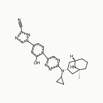 C[C@]12CCC[C@@H](C[C@@H](N(c3ncc(-c4ccc(-n5cnc(C#N)n5)cc4O)nn3)C3CC3)C1)N2